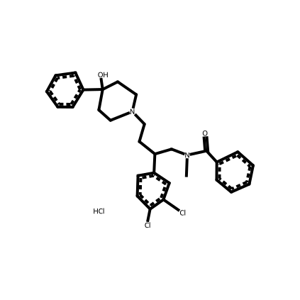 CN(CC(CCN1CCC(O)(c2ccccc2)CC1)c1ccc(Cl)c(Cl)c1)C(=O)c1ccccc1.Cl